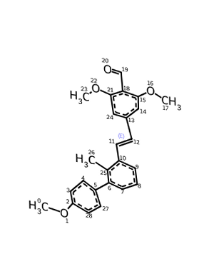 COc1ccc(-c2cccc(/C=C/c3cc(OC)c(C=O)c(OC)c3)c2C)cc1